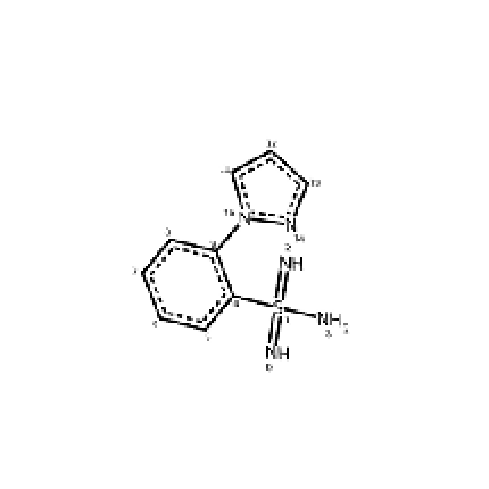 N=S(=N)(N)c1ccccc1-n1cccn1